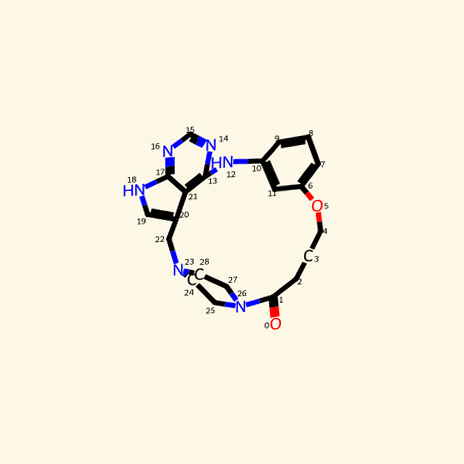 O=C1CCCOc2cccc(c2)Nc2ncnc3[nH]cc(c23)CN2CCN1CC2